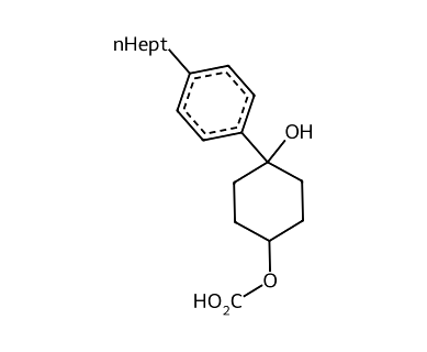 CCCCCCCc1ccc(C2(O)CCC(OC(=O)O)CC2)cc1